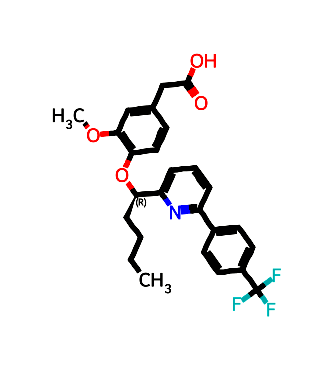 CCCC[C@@H](Oc1ccc(CC(=O)O)cc1OC)c1cccc(-c2ccc(C(F)(F)F)cc2)n1